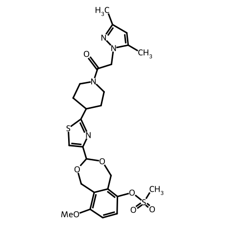 COc1ccc(OS(C)(=O)=O)c2c1COC(c1csc(C3CCN(C(=O)Cn4nc(C)cc4C)CC3)n1)OC2